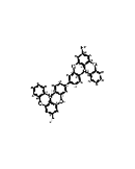 Fc1cc2c3c(c1)Oc1cc(-c4ccc5c(c4)Oc4cc(F)cc6c4N5c4ccccc4O6)ccc1N3c1ccccc1O2